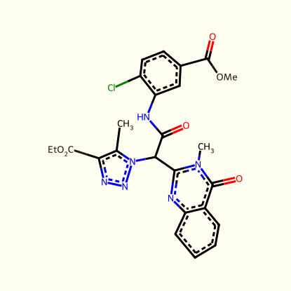 CCOC(=O)c1nnn(C(C(=O)Nc2cc(C(=O)OC)ccc2Cl)c2nc3ccccc3c(=O)n2C)c1C